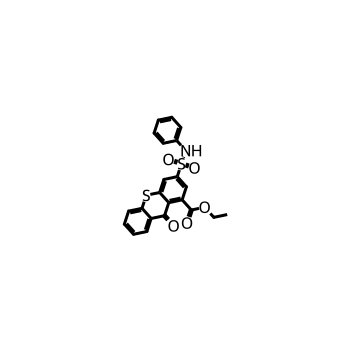 CCOC(=O)c1cc(S(=O)(=O)Nc2ccccc2)cc2sc3ccccc3c(=O)c12